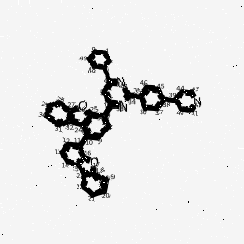 c1ccc(-c2cc(-c3ccc(-c4cccc5c4oc4ccccc45)c4c3oc3ccccc34)nc(-c3ccc(-c4ccncc4)cc3)n2)cc1